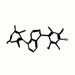 Cc1cc(C)c(C)c(-c2cccc3c2C=CC3c2c(C)c(C)c(Br)c(C)c2C)c1C